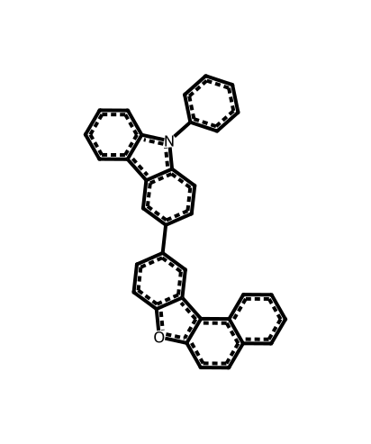 c1ccc(-n2c3ccccc3c3cc(-c4ccc5oc6ccc7ccccc7c6c5c4)ccc32)cc1